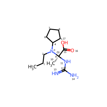 CCCN(C1CCCC1)[C@](C)(NC(=N)N)C(=O)O